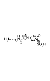 NCCONC(=O)c1cn(C2=CC3CN(C2)C(=O)N3OS(=O)(=O)O)nn1